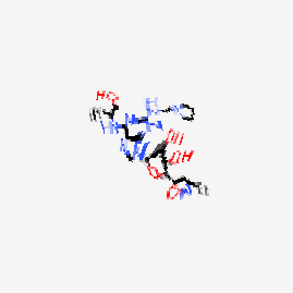 CCc1cc([C@H]2O[C@@H](n3cnc4c(NC(CO)C(C)C)nc(NCCN5CCCC5)nc43)[C@H](O)[C@@H]2O)on1